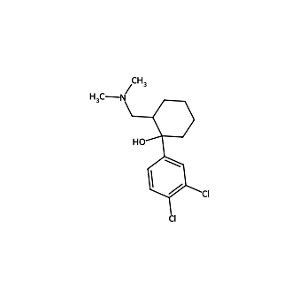 CN(C)CC1CCCCC1(O)c1ccc(Cl)c(Cl)c1